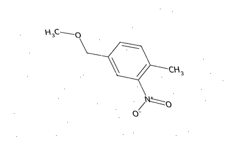 COCc1ccc(C)c([N+](=O)[O-])c1